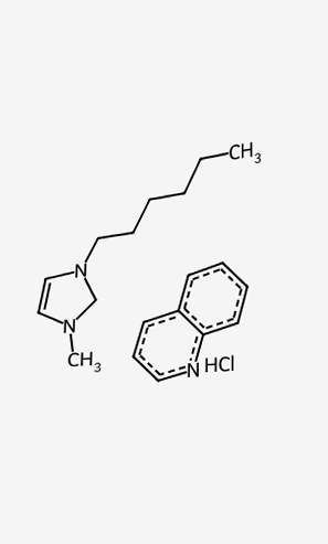 CCCCCCN1C=CN(C)C1.Cl.c1ccc2ncccc2c1